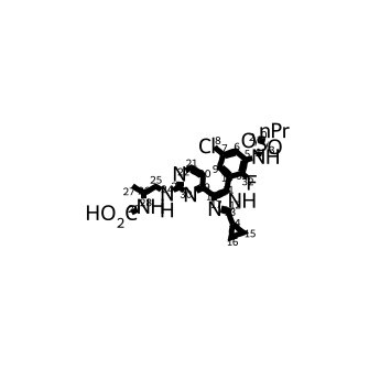 CCCS(=O)(=O)Nc1cc(Cl)cc(-c2[nH]c(C3CC3)nc2-c2ccnc(NCC(C)NC(=O)O)n2)c1F